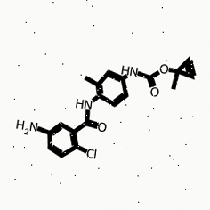 Cc1cc(NC(=O)OC2(C)C#C2)ccc1NC(=O)c1cc(N)ccc1Cl